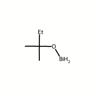 CCC(C)(C)[O][BiH2]